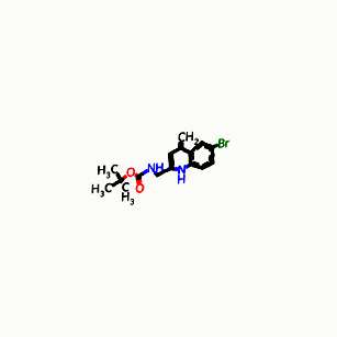 C=C1C=C(CNC(=O)OC(C)(C)C)Nc2ccc(Br)cc21